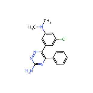 CN(C)c1cc(Cl)cc(-c2nnc(N)nc2-c2ccccc2)c1